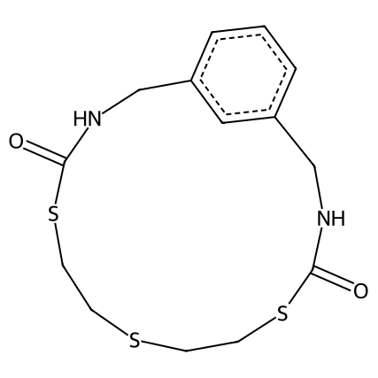 O=C1NCc2cccc(c2)CNC(=O)SCCSCCS1